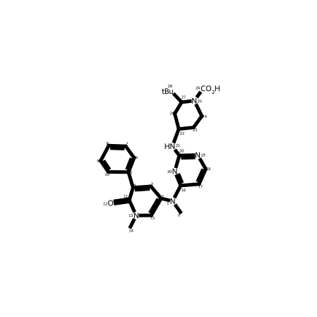 CN(c1cc(-c2ccccc2)c(=O)n(C)c1)c1ccnc(NC2CCN(C(=O)O)C(C(C)(C)C)C2)n1